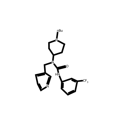 CCCCN1CCC(N(Cc2cccnc2)C(=O)Nc2cccc(C(F)(F)F)c2)CC1